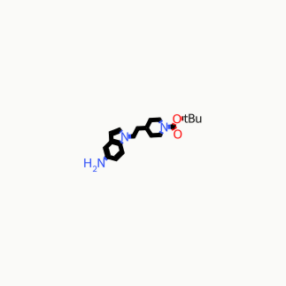 CC(C)(C)OC(=O)N1CCC(CCn2ccc3cc(N)ccc32)CC1